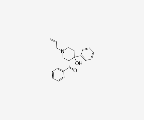 C=CCN1CCC(O)(c2ccccc2)C(C(=O)c2ccccc2)C1